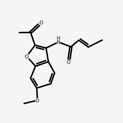 CC=CC(=O)Nc1c(C(C)=O)oc2cc(OC)ccc12